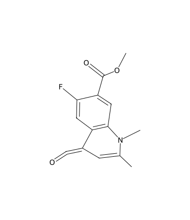 COC(=O)c1cc2c(cc1F)C(=C=O)C=C(C)N2C